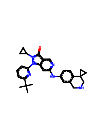 CC(C)(C)c1cccc(-n2c3cc(Nc4ccc5c(c4)CNCC54CC4)ncc3c(=O)n2C2CC2)n1